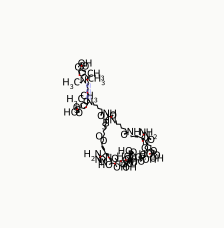 CC[N+]1=C(/C=C/C=C/C=C2/N(CCCCCC(=O)NC(CSSCCCC(=O)OCC#Cc3cn(C4OC(COP(=O)(O)OP(=O)([O-])OP(=O)(O)O)C(O)C4O)c4ncnc(N)c34)C(=O)NCCCCCC(=O)NCC#Cc3cn(C4CC(OP(=O)(O)O)C(COP(=O)(O)O)O4)c(=O)nc3N)c3ccc(S(=O)(=O)O)cc3C2(C)C)C(C)(C)c2cc(S(=O)(=O)O)ccc21